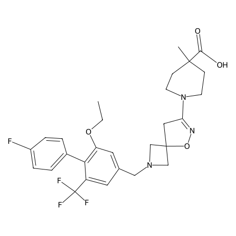 CCOc1cc(CN2CC3(CC(N4CCC(C)(C(=O)O)CC4)=NO3)C2)cc(C(F)(F)F)c1-c1ccc(F)cc1